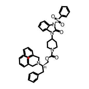 O=C(OC[C@@H](Cc1ccccc1)N(Cc1ccccc1)Cc1ccccc1)N1CCC(n2c(=O)n(S(=O)(=O)c3ccccc3)c3ccccc32)CC1